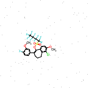 COc1cc(C2=C(OS(=O)(=O)C(F)(F)C(F)(F)C(F)(F)C(F)(F)F)c3ccc(OC)c(Cl)c3CCC2)ccc1F